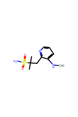 CC(C)(Cc1ncccc1NC=O)S(N)(=O)=O